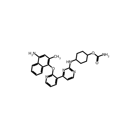 Cc1cc(N)c2ccccc2c1Oc1ncccc1-c1ccnc(NC2CCC(OC(N)=O)CC2)n1